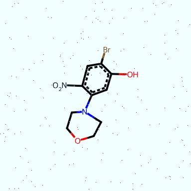 O=[N+]([O-])c1cc(Br)c(O)cc1N1CCOCC1